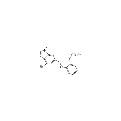 CCOC(=O)Cc1ccccc1OCc1cc(Br)c2ccn(C)c2c1